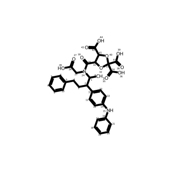 CC(C(CCc1ccccc1)c1ccc(Nc2ccccc2)cc1)N(CC(=O)O)C(=O)C1OC(C(=O)O)(C(=O)O)OC1C(=O)O